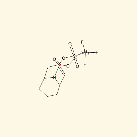 CCOC(=O)N1C2C=C(OS(=O)(=O)C(F)(F)F)CC1CCC2